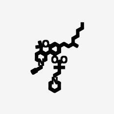 C#CCN1CCC2=C(C1)c1c(OC(=O)C(C)(C)CCN3CCCCC3)cc(CCC(C)CCCCC)cc1OC2(C)C